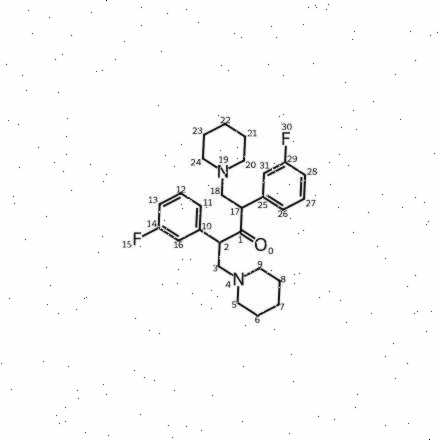 O=C(C(CN1CCCCC1)c1cccc(F)c1)C(CN1CCCCC1)c1cccc(F)c1